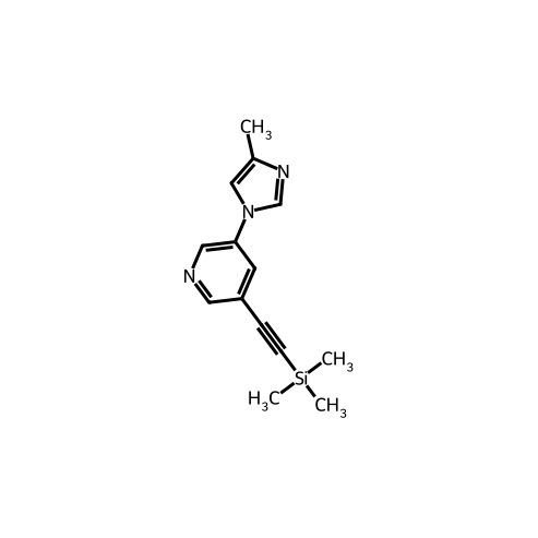 Cc1cn(-c2cncc(C#C[Si](C)(C)C)c2)cn1